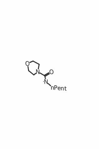 CCCCC[N]C(=O)N1CCOCC1